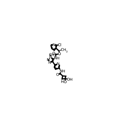 C[C@@H](OC(=O)Nc1c(-c2ccc(NC(=O)C3CC(O)(O)C3)cn2)nnn1C)c1cccnc1Cl